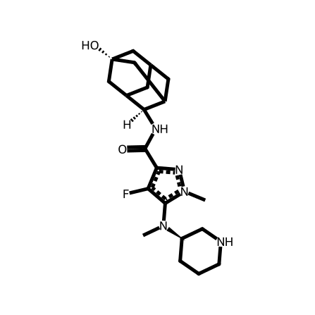 CN(c1c(F)c(C(=O)N[C@H]2C3CC4CC2C[C@](O)(C4)C3)nn1C)[C@@H]1CCCNC1